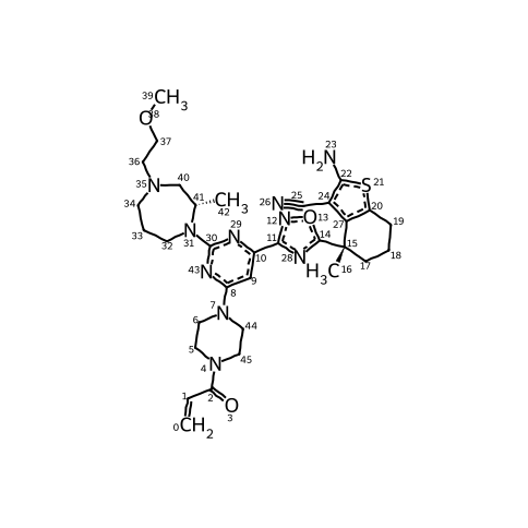 C=CC(=O)N1CCN(c2cc(-c3noc([C@@]4(C)CCCc5sc(N)c(C#N)c54)n3)nc(N3CCCN(CCOC)C[C@@H]3C)n2)CC1